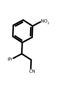 CC(C)C(CC#N)c1cccc([N+](=O)[O-])c1